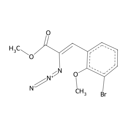 COC(=O)/C(=C/c1cccc(Br)c1OC)N=[N+]=[N-]